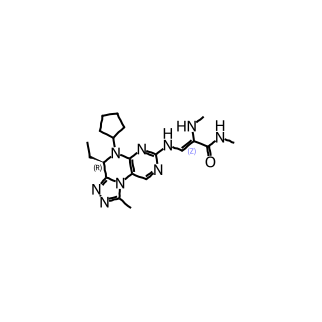 CC[C@@H]1c2nnc(C)n2-c2cnc(N/C=C(\NC)C(=O)NC)nc2N1C1CCCC1